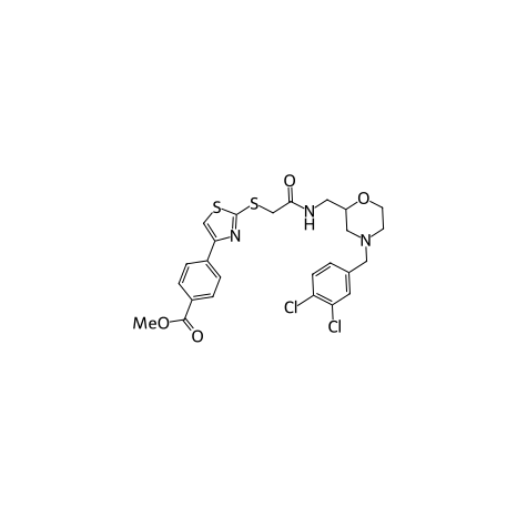 COC(=O)c1ccc(-c2csc(SCC(=O)NCC3CN(Cc4ccc(Cl)c(Cl)c4)CCO3)n2)cc1